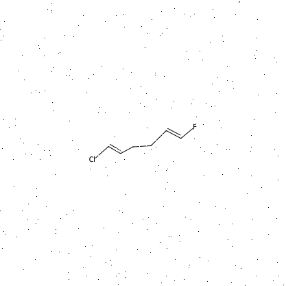 F/C=C/CC/C=C/Cl